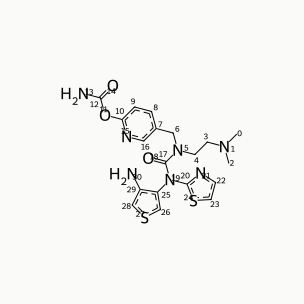 CN(C)CCN(Cc1ccc(OC(N)=O)nc1)C(=O)N(c1nccs1)c1cscc1N